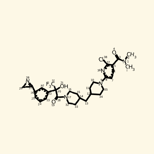 CN(C)C(=O)c1ccc(N2CCC(CC3CCN(C(=O)C(O)(c4cccc(C5=NC5)c4)C(F)(F)F)CC3)CC2)nc1Cl